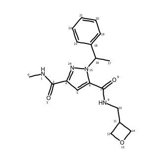 CNC(=O)c1cc(C(=O)NCC2COC2)n(C(C)c2ccccc2)n1